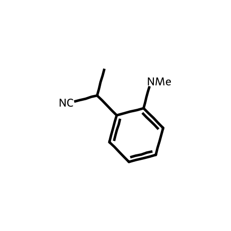 CNc1ccccc1C(C)C#N